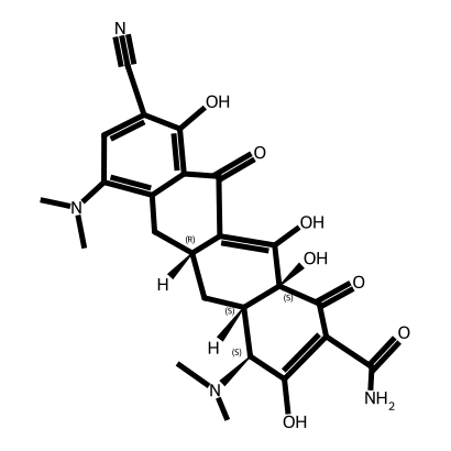 CN(C)c1cc(C#N)c(O)c2c1C[C@H]1C[C@H]3[C@H](N(C)C)C(O)=C(C(N)=O)C(=O)[C@@]3(O)C(O)=C1C2=O